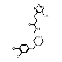 Cn1nnnc1SCC(=O)NC[C@H]1CN(Cc2ccc(Cl)c(Cl)c2)CCO1